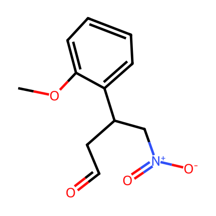 COc1ccccc1C(CC=O)C[N+](=O)[O-]